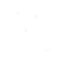 CCCCCc1cnc(O)nc1